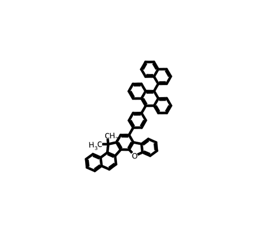 CC1(C)c2cc(-c3ccc(-c4c5ccccc5c(-c5cccc6ccccc56)c5ccccc45)cc3)c3c(oc4ccccc43)c2-c2ccc3ccccc3c21